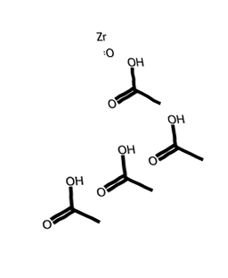 CC(=O)O.CC(=O)O.CC(=O)O.CC(=O)O.[O].[Zr]